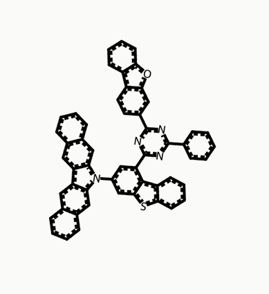 c1ccc(-c2nc(-c3ccc4c(c3)oc3ccccc34)nc(-c3cc(-n4c5cc6ccccc6cc5c5cc6ccccc6cc54)cc4sc5ccccc5c34)n2)cc1